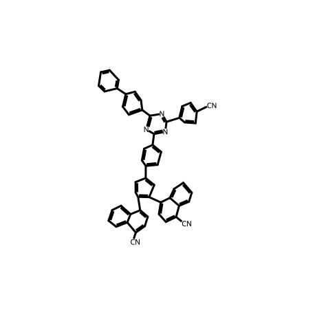 N#Cc1ccc(-c2nc(-c3ccc(-c4ccccc4)cc3)nc(-c3ccc(-c4ccc(-c5ccc(C#N)c6ccccc56)c(-c5ccc(C#N)c6ccccc56)c4)cc3)n2)cc1